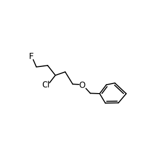 FCCC(Cl)CCOCc1ccccc1